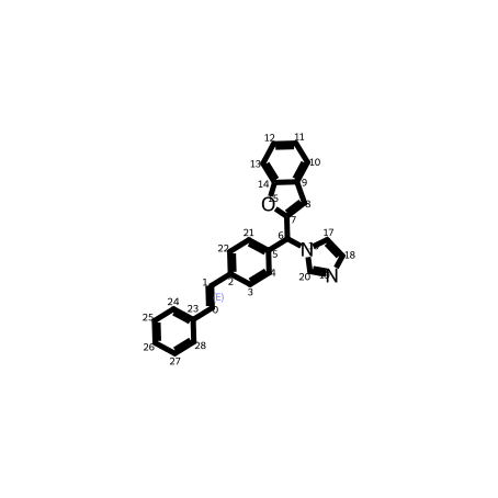 C(=C\c1ccc(C(c2cc3ccccc3o2)n2ccnc2)cc1)/c1ccccc1